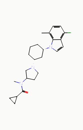 Cc1ccc(F)c2ccn([C@@H]3CCC[C@@H](N4CCC(N(C)C(=O)C5CC5)C4)C3)c12